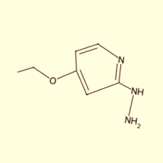 CCOc1ccnc(NN)c1